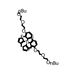 CCCCOCCOCCOc1ccc(F)[c]([Ti]([C]2=C(C)C=CC2)([C]2=C(C)C=CC2)[c]2c(F)ccc(OCCOCCOCCCC)c2F)c1F